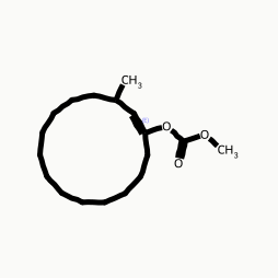 COC(=O)O/C1=C/C(C)CCCCCCCCCCCC1